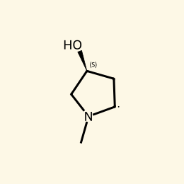 CN1[CH]C[C@H](O)C1